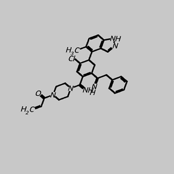 C=CC(=O)N1CCN(C(=N)C2=C(C(=N)Cc3ccccc3)CC(c3c(C)ccc4[nH]ncc34)C(Cl)=C2)CC1